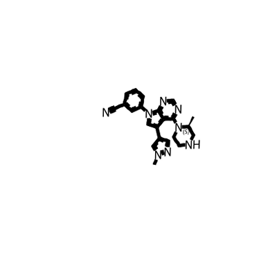 C[C@H]1CNCCN1c1ncnc2c1c(-c1cnn(C)c1)cn2-c1cccc(C#N)c1